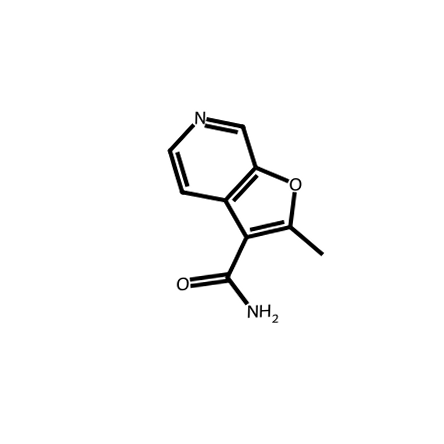 Cc1oc2cnccc2c1C(N)=O